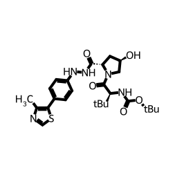 Cc1ncsc1-c1ccc(NNC(=O)[C@@H]2C[C@@H](O)CN2C(=O)[C@@H](NC(=O)OC(C)(C)C)C(C)(C)C)cc1